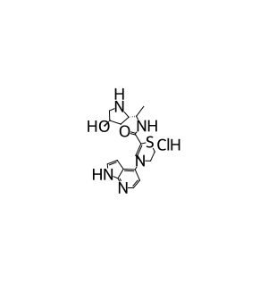 CC(NC(=O)C1=CN(c2ccnc3[nH]ccc23)CCS1)[C@@H]1C[C@@H](O)CN1.Cl